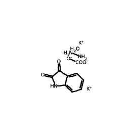 NN.O.O=C([O-])[O-].O=C1Nc2ccccc2C1=O.[K+].[K+]